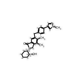 Cc1c(Cc2ccc(-c3cnn(C)c3)cc2)cc2c(c1C)CN([C@H]1CCCC[C@@H]1O)C2=O